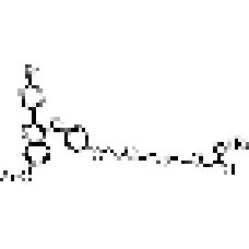 COc1ccc2c(Oc3ccc(OCCOCCOCCOCC(=O)OC(C)(C)C)cc3)c(-c3ccc(Br)cc3)sc2c1